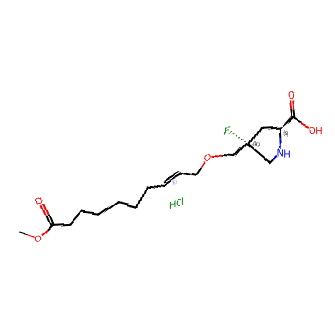 COC(=O)CCCCCC/C=C/COC[C@]1(F)CN[C@H](C(=O)O)C1.Cl